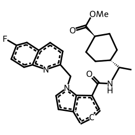 COC(=O)[C@H]1CC[C@H](C(C)NC(=O)c2cccc3ccn(Cc4ccc5cc(F)ccc5n4)c23)CC1